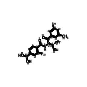 CCC[C@@H](N(NC(=O)c1ccc(B(O)O)cc1F)C(=O)c1cc(C)cc(I)c1)C(C)(C)C